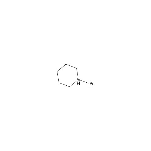 CC(C)[SiH]1CCCCC1